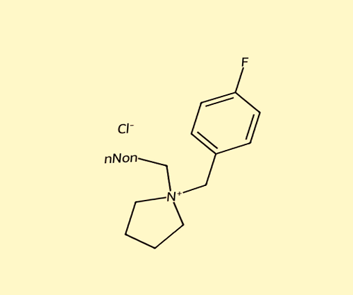 CCCCCCCCCC[N+]1(Cc2ccc(F)cc2)CCCC1.[Cl-]